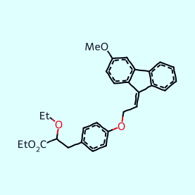 CCOC(=O)C(Cc1ccc(OCC=C2c3ccccc3-c3cc(OC)ccc32)cc1)OCC